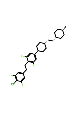 C[C@H]1CC[C@H](CC[C@H]2CC[C@H](c3cc(F)c(CCc4cc(F)c(Cl)c(F)c4)c(F)c3)CC2)CC1